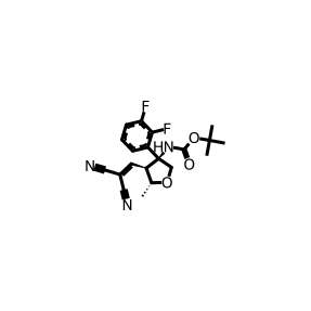 C[C@H]1OC[C@@](NC(=O)OC(C)(C)C)(c2cccc(F)c2F)[C@@H]1C=C(C#N)C#N